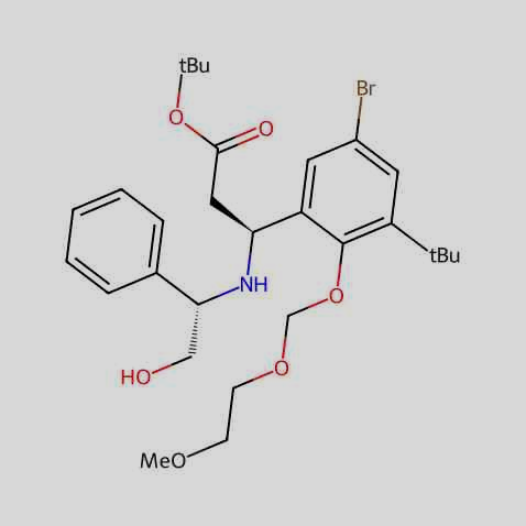 COCCOCOc1c([C@H](CC(=O)OC(C)(C)C)N[C@H](CO)c2ccccc2)cc(Br)cc1C(C)(C)C